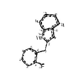 Fc1ccccc1Cc1cc2ccccc2[nH]1